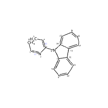 C/C=N\C(=C/C)n1c2ccccc2c2ccccc21